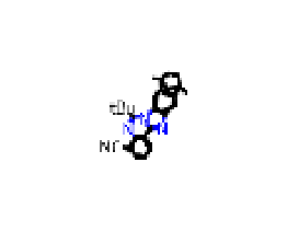 CC(C)(C)c1nc2c(C#N)cccc2c2nc3cc4c(cc3n12)C1(C)CCC4(C)C1